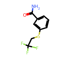 NC(=O)c1cccc(SCC(F)(F)F)c1